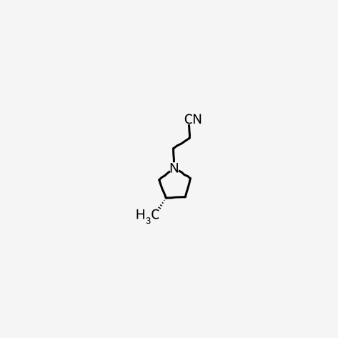 C[C@H]1CCN(CCC#N)C1